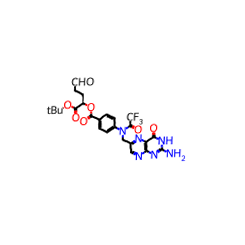 CC(C)(C)OC(=O)[C@@H](CCC=O)OC(=O)c1ccc(N(Cc2cnc3nc(N)[nH]c(=O)c3n2)C(=O)C(F)(F)F)cc1